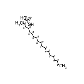 CCCCCCCCCCCCCCCCCCC(C)[N+]([O-])(O)O